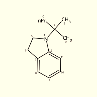 CCCC(C)(C)N1CCc2ccccc21